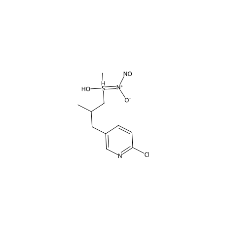 CC(Cc1ccc(Cl)nc1)C[SH](C)(O)=[N+]([O-])N=O